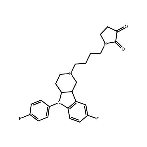 O=C1CCN(CCCCN2CCC3C(C2)c2cc(F)ccc2N3c2ccc(F)cc2)C1=O